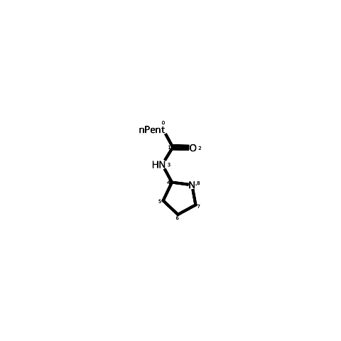 CCCCCC(=O)NC1CCC[N]1